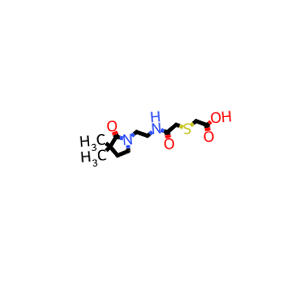 CC1(C)CCN(CCNC(=O)CSCC(=O)O)C1=O